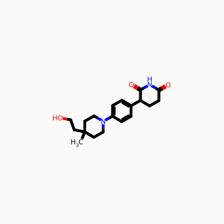 CC1(CCO)CCN(c2ccc(C3CCC(=O)NC3=O)cc2)CC1